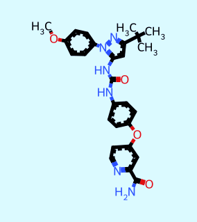 COc1ccc(-n2nc(C(C)(C)C)cc2NC(=O)Nc2ccc(Oc3ccnc(C(N)=O)c3)cc2)cc1